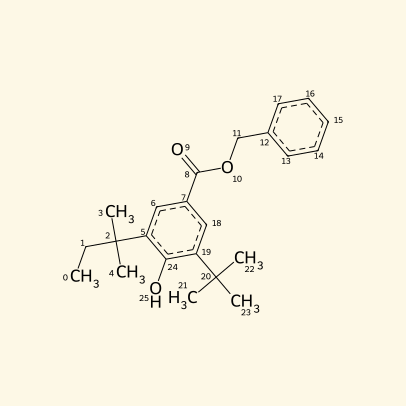 CCC(C)(C)c1cc(C(=O)OCc2ccccc2)cc(C(C)(C)C)c1O